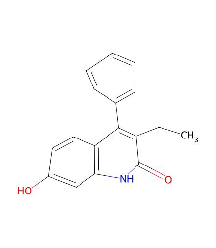 CCc1c(-c2ccccc2)c2ccc(O)cc2[nH]c1=O